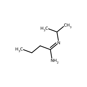 CCC/C(N)=N\C(C)C